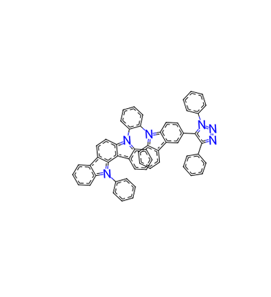 c1ccc(-c2nnn(-c3ccccc3)c2-c2ccc3c(c2)c2ccccc2n3-c2ccccc2-n2c3ccccc3c3c2ccc2c4ccccc4n(-c4ccccc4)c23)cc1